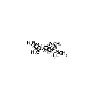 COC(=O)C1c2ccc(OCc3nc(C)ccc3OC)cc2CCN1C(=O)OCC(C)C